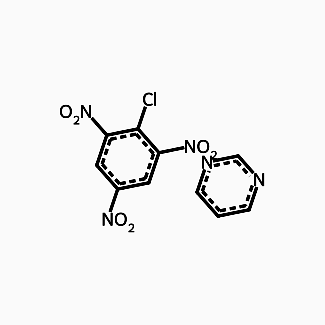 O=[N+]([O-])c1cc([N+](=O)[O-])c(Cl)c([N+](=O)[O-])c1.c1cncnc1